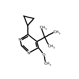 COc1ncnc(C2CC2)c1C(C)(C)C